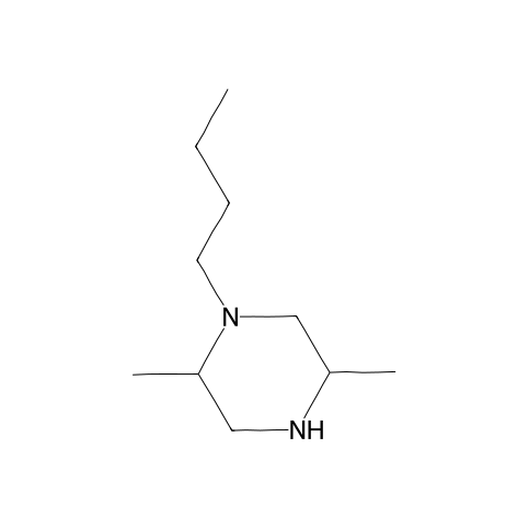 CCCCN1CC(C)NCC1C